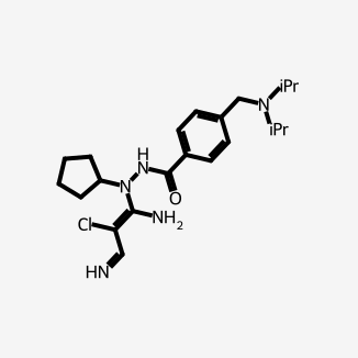 CC(C)N(Cc1ccc(C(=O)NN(/C(N)=C(\Cl)C=N)C2CCCC2)cc1)C(C)C